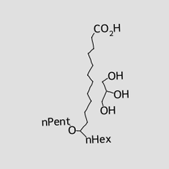 CCCCCCC(CCCCCCCCCCC(=O)O)OCCCCC.OCC(O)CO